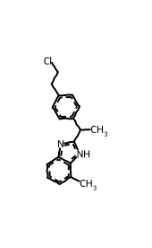 Cc1cccc2nc(C(C)c3ccc(CCCl)cc3)[nH]c12